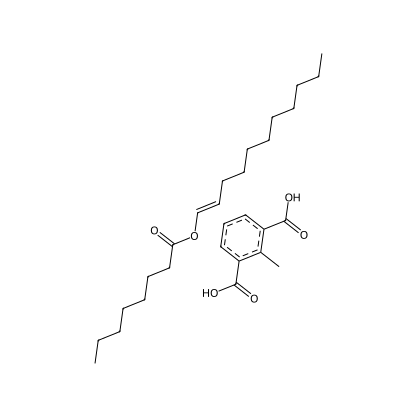 CCCCCCCCCC=COC(=O)CCCCCCC.Cc1c(C(=O)O)cccc1C(=O)O